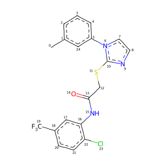 Cc1cccc(-n2ccnc2SCC(=O)Nc2cc(C(F)(F)F)ccc2Cl)c1